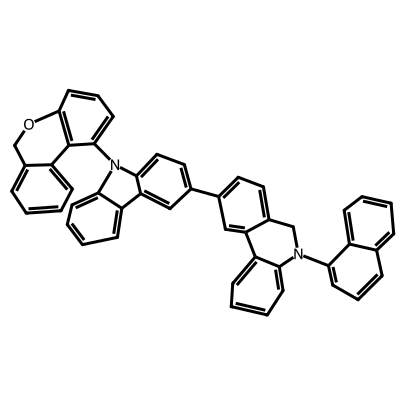 c1ccc2c(c1)COc1cccc(-n3c4ccccc4c4cc(-c5ccc6c(c5)-c5ccccc5N(c5cccc7ccccc57)C6)ccc43)c1-2